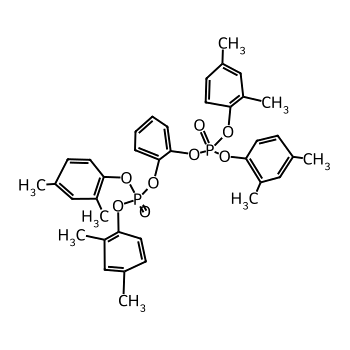 Cc1ccc(OP(=O)(Oc2ccc(C)cc2C)Oc2ccccc2OP(=O)(Oc2ccc(C)cc2C)Oc2ccc(C)cc2C)c(C)c1